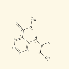 CC(CO)Nc1ccccc1C(=O)OC(C)(C)C